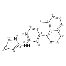 Cc1cccc2c1N(c1ccnc(Nc3cocn3)n1)CCC2